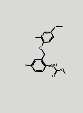 CCc1ccc(OCc2cc(I)ccc2NC(=O)OC)c(C)c1